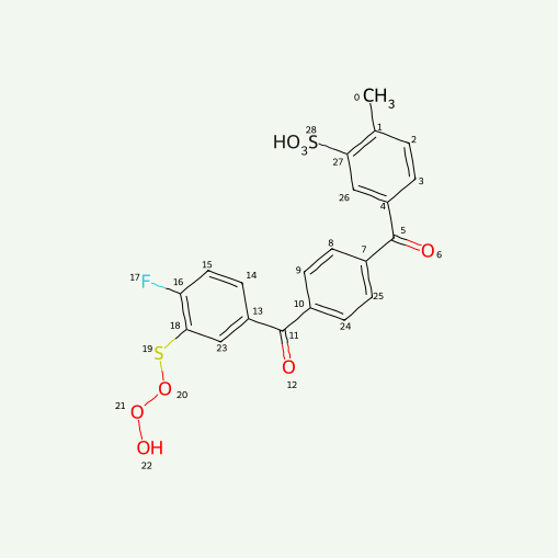 Cc1ccc(C(=O)c2ccc(C(=O)c3ccc(F)c(SOOO)c3)cc2)cc1S(=O)(=O)O